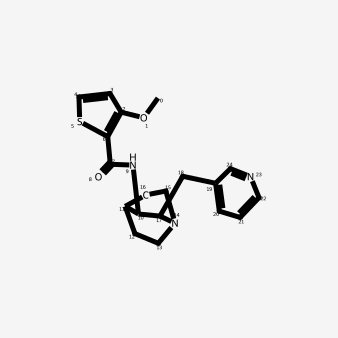 COc1ccsc1C(=O)NC1C2CCN(CC2)C1Cc1cccnc1